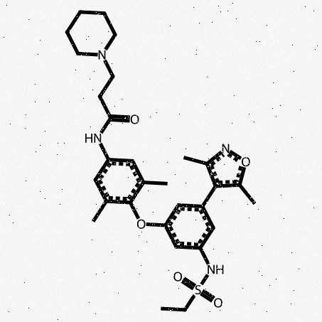 CCS(=O)(=O)Nc1cc(Oc2c(C)cc(NC(=O)CCN3CCCCC3)cc2C)cc(-c2c(C)noc2C)c1